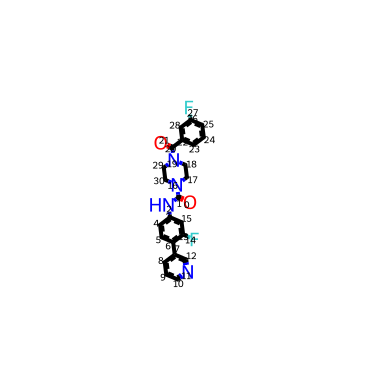 O=C(Nc1ccc(-c2cccnc2)c(F)c1)N1CCN(C(=O)c2cccc(F)c2)CC1